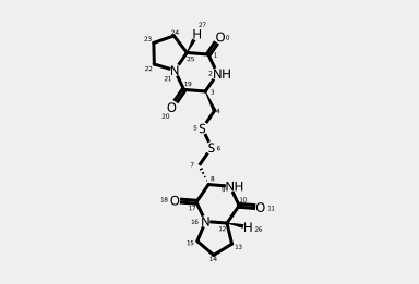 O=C1N[C@@H](CSSC[C@@H]2NC(=O)[C@@H]3CCCN3C2=O)C(=O)N2CCC[C@H]12